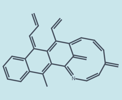 C=C/C=c1/c2ccccc2c(C)c2c3nccc(=C)cccc(c(C=C)c12)c3=C